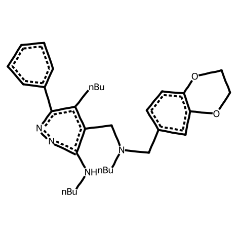 CCCCNc1nnc(-c2ccccc2)c(CCCC)c1CN(CCCC)Cc1ccc2c(c1)OCCO2